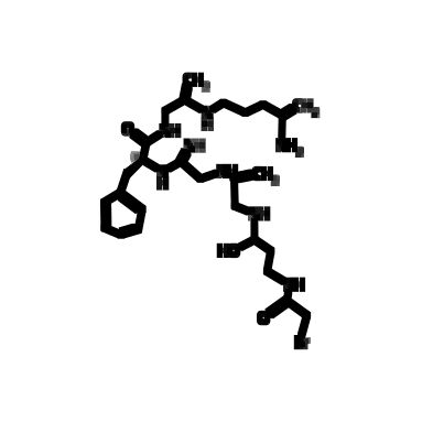 C=C(N)CCCNC(=C)CNC(=O)[C@H](Cc1ccccc1)NC(=N)CNC(=C)CNC(O)CCNC(=O)CBr